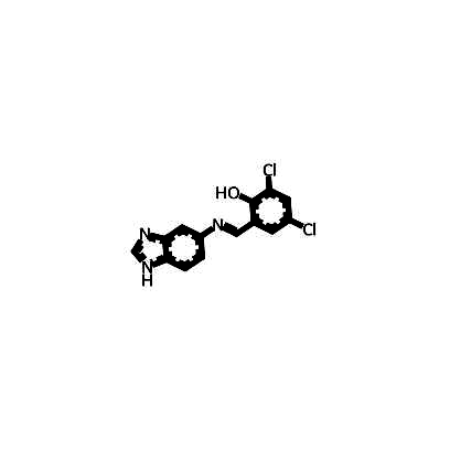 Oc1c(Cl)cc(Cl)cc1/C=N/c1ccc2[nH]cnc2c1